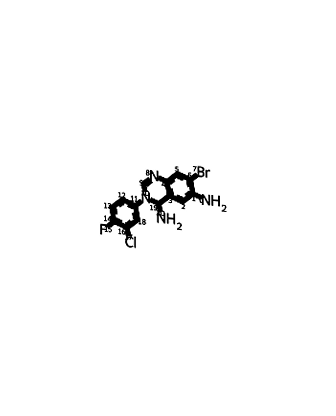 Nc1cc2c(cc1Br)N=CN(c1ccc(F)c(Cl)c1)C2N